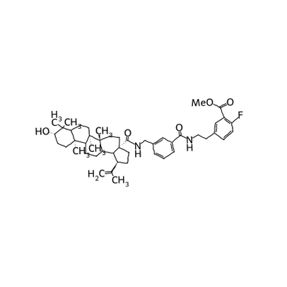 C=C(C)[C@@H]1CC[C@]2(C(=O)NCc3cccc(C(=O)NCCc4ccc(F)c(C(=O)OC)c4)c3)CC[C@]3(C)C(CCC4[C@@]5(C)CC[C@H](O)C(C)(C)C5CC[C@]43C)C12